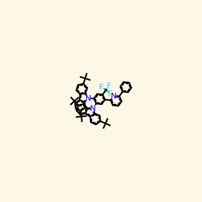 CC(C)(C)c1ccc2c3ccc(C(C)(C)C)cc3n(-c3cc(-c4cccc(-c5ccccc5)n4)c(C(F)(F)F)cc3-n3c4cc(C(C)(C)C)ccc4c4ccc(C(C)(C)C)cc43)c2c1